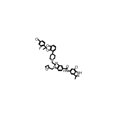 Cc1n[nH]c2c(Cl)cc(NC(=O)c3ccc4c(c3)nc(CN3CCC(c5cccc6c5OC(C)(c5ccc(Cl)cc5F)O6)CC3)n4CC3CCO3)cc12